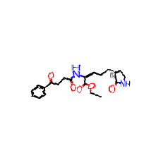 CCOC(=O)C(=CCC[C@H]1CCNC1=O)NC(=O)CCC(=O)c1ccccc1